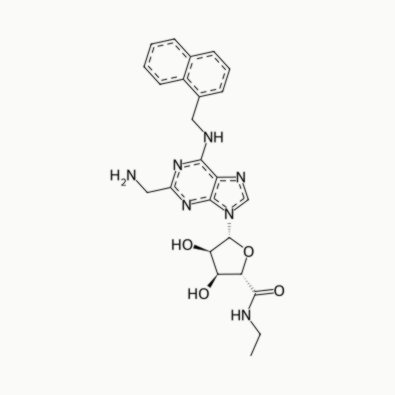 CCNC(=O)[C@H]1O[C@@H](n2cnc3c(NCc4cccc5ccccc45)nc(CN)nc32)[C@H](O)[C@@H]1O